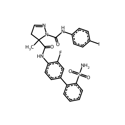 CC1(C(=O)Nc2ccc(-c3ccccc3S(N)(=O)=O)cc2F)CC=NN1C(=O)Nc1ccc(I)cc1